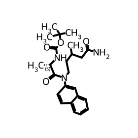 CC(CCN(C(=O)[C@H](C)NC(=O)OC(C)(C)C)c1ccc2ccccc2c1)CC(N)=O